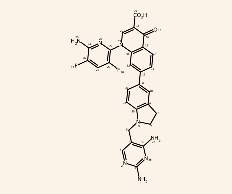 Nc1ncc(CN2CCc3cc(-c4ccc5c(=O)c(C(=O)O)cn(-c6nc(N)c(F)cc6F)c5c4)ccc32)c(N)n1